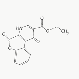 CCOC(=O)c1c[nH]c2c(=O)oc3ccccc3c2c1=O